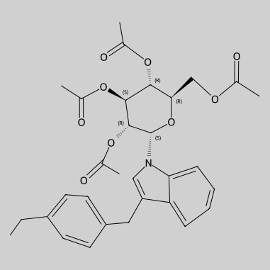 CCc1ccc(Cc2cn([C@H]3O[C@H](COC(C)=O)[C@@H](OC(C)=O)[C@H](OC(C)=O)[C@H]3OC(C)=O)c3ccccc23)cc1